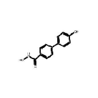 O=C(NO)c1ccc(-c2ccc(O)cc2)cc1